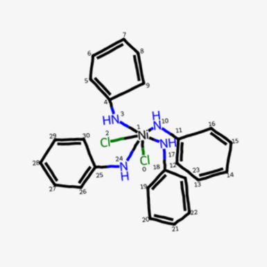 [Cl][Ni]([Cl])([NH]c1ccccc1)([NH]c1ccccc1)([NH]c1ccccc1)[NH]c1ccccc1